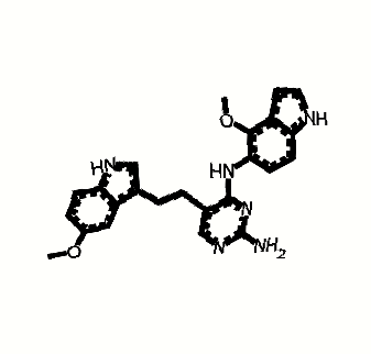 COc1ccc2[nH]cc(CCc3cnc(N)nc3Nc3ccc4[nH]ccc4c3OC)c2c1